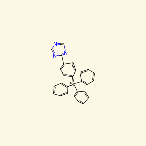 c1ccc([Si](c2ccccc2)(c2ccccc2)c2ccc(-c3ncncn3)cc2)cc1